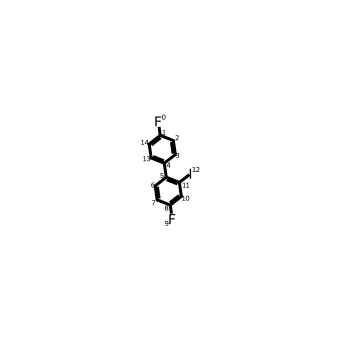 Fc1ccc(-c2ccc(F)cc2I)cc1